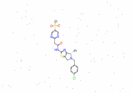 CCS(=O)(=O)c1cnc(CC(=O)Nc2nc3c(s2)CN(Cc2ccc(Cl)cc2)[C@H]3C(C)C)nc1